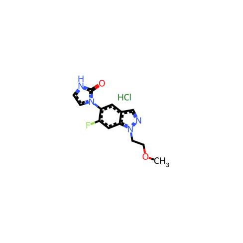 COCCn1ncc2cc(-n3cc[nH]c3=O)c(F)cc21.Cl